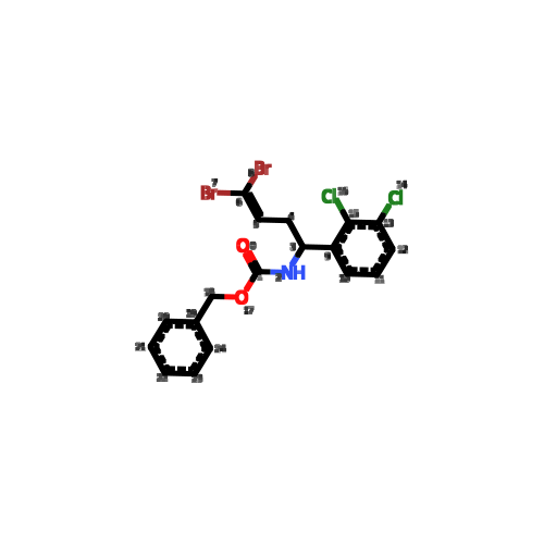 O=C(NC(CC=C(Br)Br)c1cccc(Cl)c1Cl)OCc1ccccc1